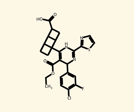 CCOC(=O)C1=C(C23C4C5C2C2C3C4C52C(=O)O)NC(c2nccs2)=NC1c1ccc(Cl)c(F)c1